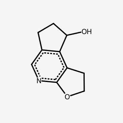 OC1CCc2cnc3c(c21)CCO3